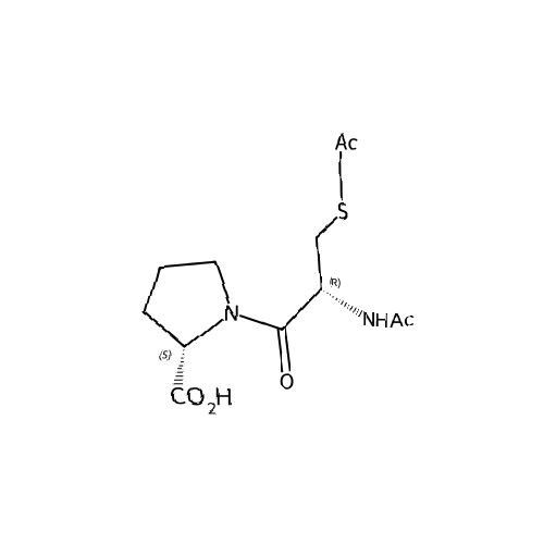 CC(=O)N[C@@H](CSC(C)=O)C(=O)N1CCC[C@H]1C(=O)O